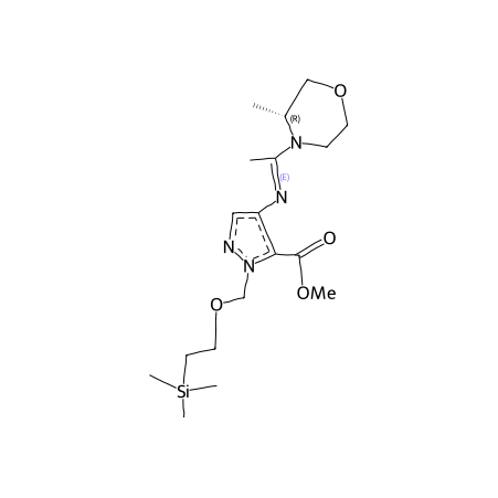 COC(=O)c1c(/N=C(\C)N2CCOC[C@H]2C)cnn1COCC[Si](C)(C)C